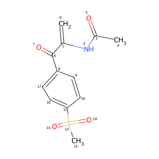 C=C(NC(C)=O)C(=O)c1ccc(S(C)(=O)=O)cc1